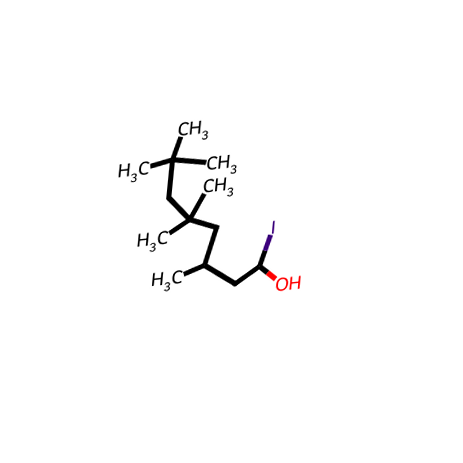 CC(CC(O)I)CC(C)(C)CC(C)(C)C